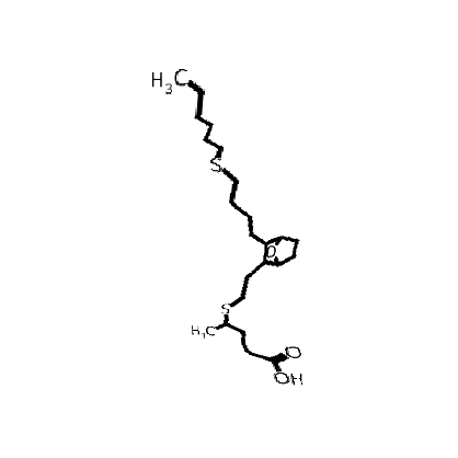 CCCCCCSCCCCC1C2CCC(O2)C1CCSC(C)CCC(=O)O